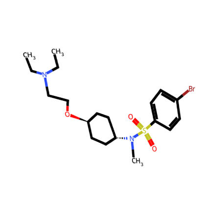 CCN(CC)CCO[C@H]1CC[C@H](N(C)S(=O)(=O)c2ccc(Br)cc2)CC1